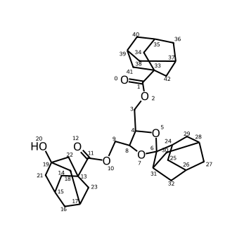 O=C(OCC1OC2(OC1COC(=O)C13CC4CC(CC(O)(C4)C1)C3)C1CC3CC(C1)CC2C3)C12CC3CC(CC(C3)C1)C2